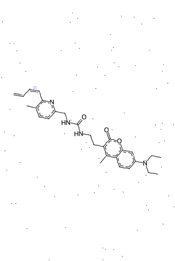 C=C/C=C\c1nc(CNC(=O)NCCc2c(C)c3ccc(N(CC)CC)cc3oc2=O)ccc1C